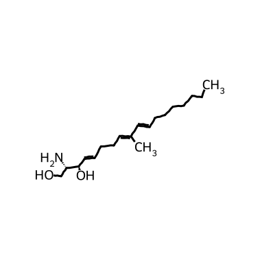 CCCCCCC/C=C/C(C)=C/CC/C=C/[C@@H](O)[C@@H](N)CO